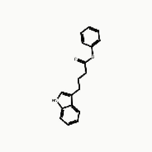 O=C(CCCc1c[nH]c2ccccc12)Oc1ccccc1